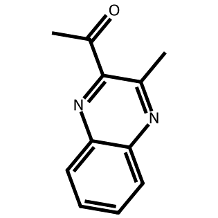 CC(=O)c1nc2ccccc2nc1C